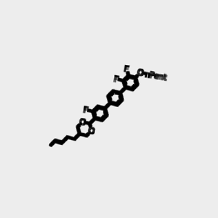 C/C=C/CCC1COC(c2ccc(-c3ccc(-c4ccc(OCCCCC)c(F)c4F)cc3)cc2F)OC1